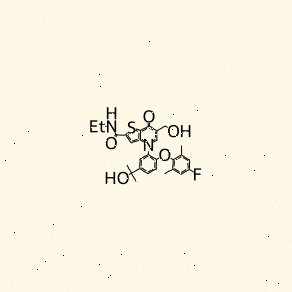 CCNC(=O)c1cc2c(s1)c(=O)c(CO)cn2-c1cc(C(C)(C)O)ccc1Oc1c(C)cc(F)cc1C